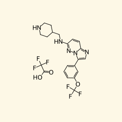 FC(F)(F)Oc1cccc(-c2cnc3ccc(NCC4CCNCC4)nn23)c1.O=C(O)C(F)(F)F